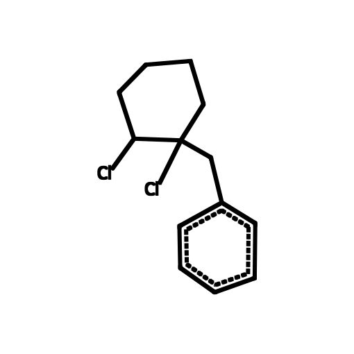 ClC1CCCCC1(Cl)Cc1ccccc1